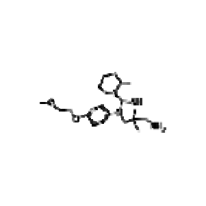 COCCOc1ccc(N(CC(C)(C)CN)C(=N)N2CCCCC2C)cc1